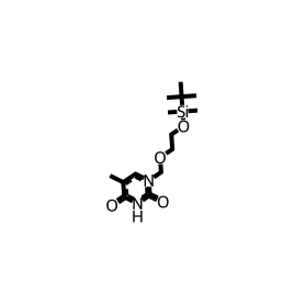 Cc1cn(COCCO[Si](C)(C)C(C)(C)C)c(=O)[nH]c1=O